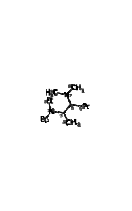 CCN(CC)C(C)C(C(C)C)N(C)C